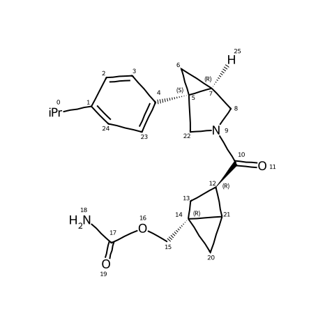 CC(C)c1ccc([C@]23C[C@H]2CN(C(=O)[C@@H]2C[C@]4(COC(N)=O)CC24)C3)cc1